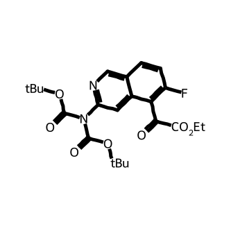 CCOC(=O)C(=O)c1c(F)ccc2cnc(N(C(=O)OC(C)(C)C)C(=O)OC(C)(C)C)cc12